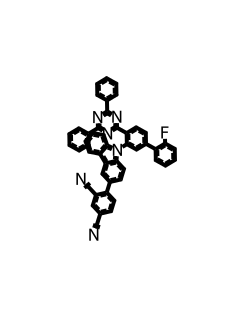 N#Cc1ccc(-c2ccc3c(c2)c2ccccc2n3-c2cc(-c3ccccc3F)ccc2-c2nc(-c3ccccc3)nc(-c3ccccc3)n2)c(C#N)c1